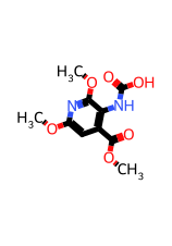 COC(=O)c1cc(OC)nc(OC)c1NC(=O)O